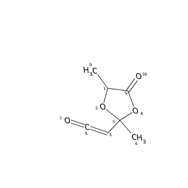 CC1OC(C)(C=C=O)OC1=O